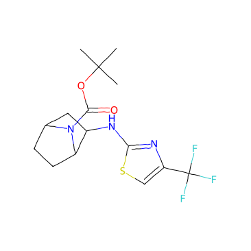 CC(C)(C)OC(=O)N1C2CCC1C(Nc1nc(C(F)(F)F)cs1)C2